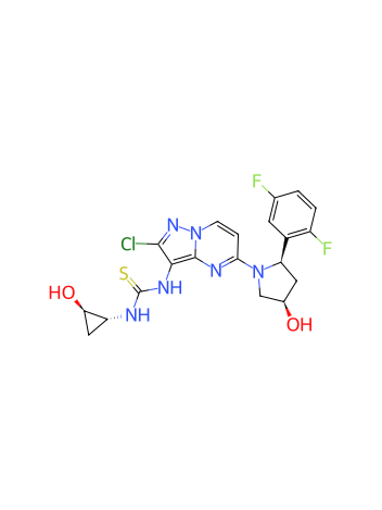 O[C@@H]1C[C@H](c2cc(F)ccc2F)N(c2ccn3nc(Cl)c(NC(=S)N[C@@H]4C[C@H]4O)c3n2)C1